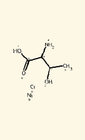 CC(O)C(N)C(=O)O.[Cr].[Ni]